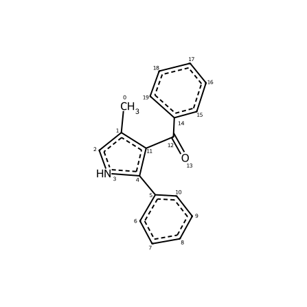 Cc1c[nH]c(-c2ccccc2)c1C(=O)c1ccccc1